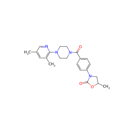 Cc1cnc(N2CCN(C(=O)c3ccc(N4CC(C)OC4=O)cc3)CC2)c(C)c1